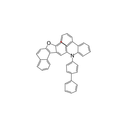 c1ccc(-c2ccc(N(c3ccc4oc5ccc6ccccc6c5c4c3)c3ccccc3-c3ccccc3)cc2)cc1